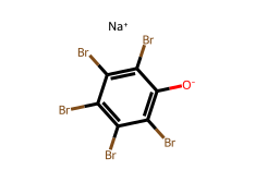 [Na+].[O-]c1c(Br)c(Br)c(Br)c(Br)c1Br